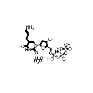 NC=CCc1cn([C@H]2C[C@H](O)[C@@H](COP(=O)(O)OP(=O)(O)OP(=O)(O)O)O2)c(=O)[nH]c1=O.O.O